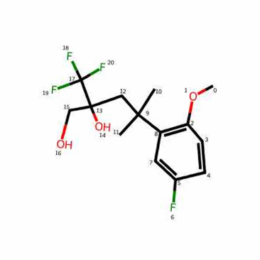 COc1ccc(F)cc1C(C)(C)CC(O)(CO)C(F)(F)F